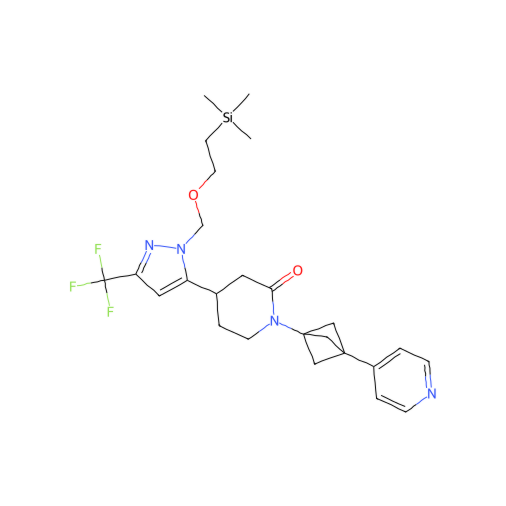 C[Si](C)(C)CCOCn1nc(C(F)(F)F)cc1C1CCN(C23CC(c4ccncc4)(C2)C3)C(=O)C1